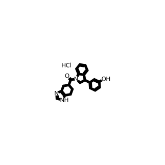 Cl.O=C(C1CCc2[nH]cnc2C1)N1CC(c2cccc(O)c2)c2ccccc21